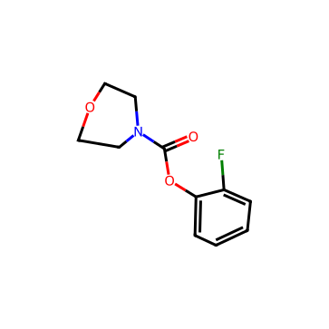 O=C(Oc1ccccc1F)N1CCOCC1